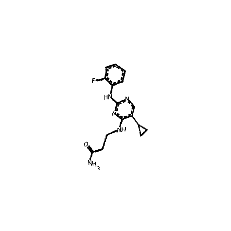 NC(=O)CCNc1nc(Nc2ccccc2F)ncc1C1CC1